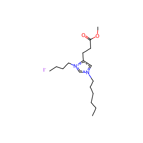 CCCCCCn1cc(CCC(=O)OC)[n+](CCCC)c1.[I-]